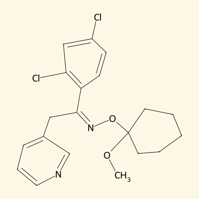 COC1(ON=C(Cc2cccnc2)c2ccc(Cl)cc2Cl)CCCCC1